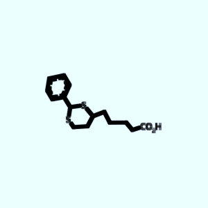 O=C(O)CCCCC1CCSC(c2ccccc2)S1